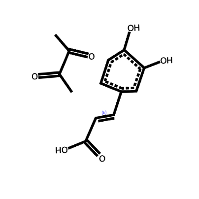 CC(=O)C(C)=O.O=C(O)/C=C/c1ccc(O)c(O)c1